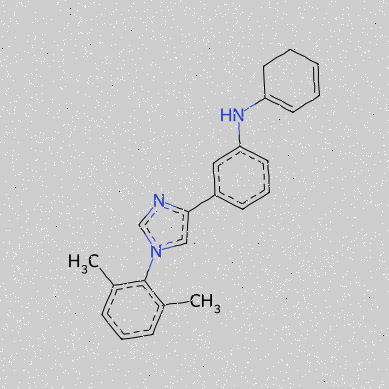 Cc1cccc(C)c1-n1cnc(-c2cccc(NC3=CC=CCC3)c2)c1